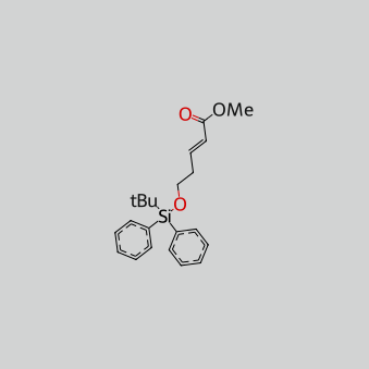 COC(=O)/C=C/CCO[Si](c1ccccc1)(c1ccccc1)C(C)(C)C